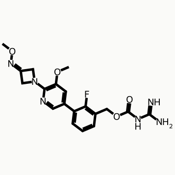 CON=C1CN(c2ncc(-c3cccc(COC(=O)NC(=N)N)c3F)cc2OC)C1